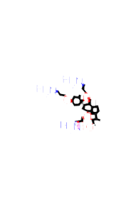 CC(CCO)C1CC[C@H]2C(COCCCN)[C@@H](C3(C)CC[C@@H](OCCCN)CC3C)C[C@H](OCCCN)C12C